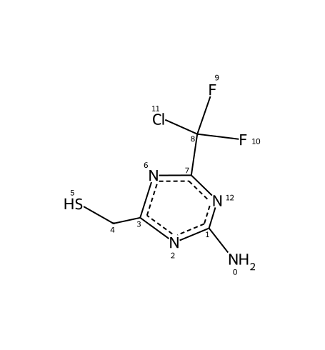 Nc1nc(CS)nc(C(F)(F)Cl)n1